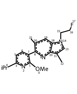 COc1nc(C(C)C)ccc1-c1nc2c(C)cn(CCF)c2cc1C